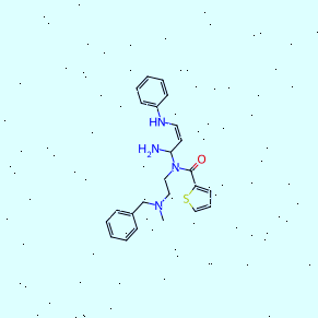 CN(CCN(C(=O)c1cccs1)C(N)/C=C\Nc1ccccc1)Cc1ccccc1